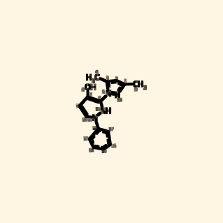 Cc1cc(C)n(C2=C(O)C=CN(c3ccccc3)N2)n1